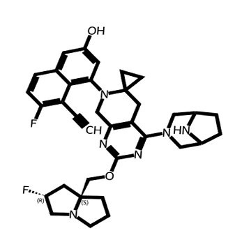 C#Cc1c(F)ccc2cc(O)cc(N3Cc4nc(OC[C@@]56CCCN5C[C@H](F)C6)nc(N5CC6CCC(C5)N6)c4CC34CC4)c12